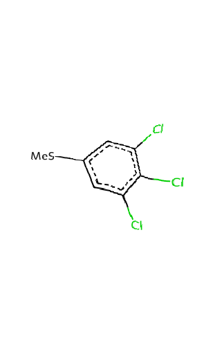 [CH2]Sc1cc(Cl)c(Cl)c(Cl)c1